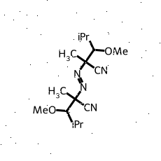 COC(C(C)C)C(C)(C#N)N=NC(C)(C#N)C(OC)C(C)C